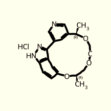 C[C@@H]1COCCO[C@H](C)c2cncc(c2)-c2n[nH]c3ccc(cc23)O1.Cl